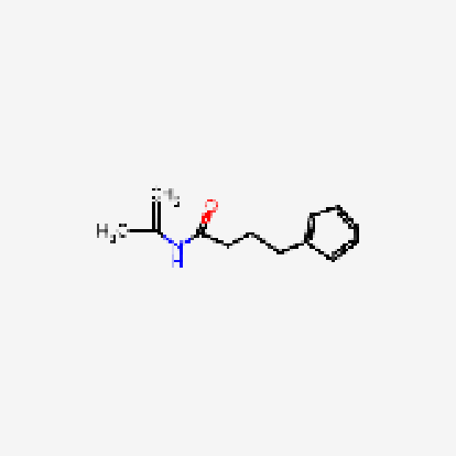 C=C(C)NC(=O)CCCc1ccccc1